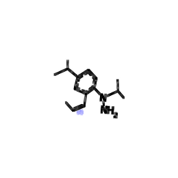 C/C=C\c1cc(C(C)C)ccc1N(N)C(C)C